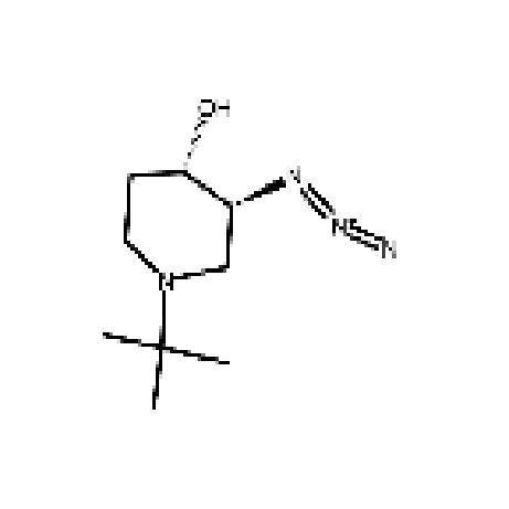 CC(C)(C)N1CC[C@H](O)[C@@H](N=[N+]=[N-])C1